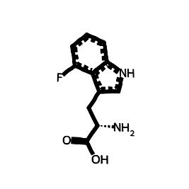 N[C@@H](Cc1c[nH]c2cccc(F)c12)C(=O)O